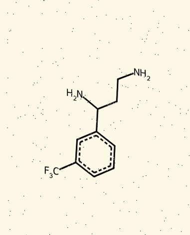 NCCC(N)c1cccc(C(F)(F)F)c1